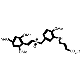 CCOC(=O)/C=C/CNc1cc(CS(=O)(=O)/C=C/c2c(OC)cc(OC)cc2OC)ccc1OC